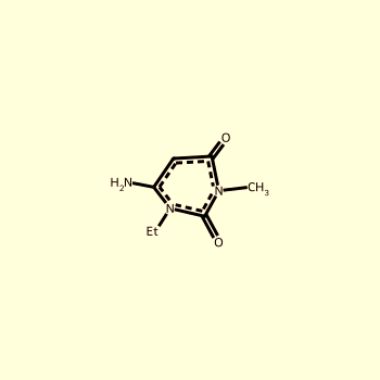 CCn1c(N)cc(=O)n(C)c1=O